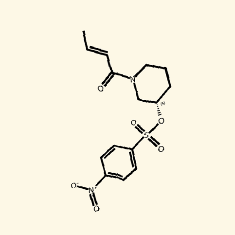 CC=CC(=O)N1CCC[C@H](OS(=O)(=O)c2ccc([N+](=O)[O-])cc2)C1